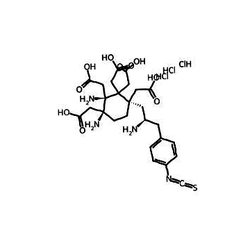 Cl.Cl.Cl.N[C@H](Cc1ccc(N=C=S)cc1)C[C@]1(CC(=O)O)CC[C@](N)(CC(=O)O)[C@](N)(CC(=O)O)C1(CC(=O)O)CC(=O)O